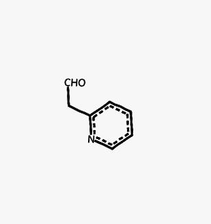 O=CCc1ccccn1